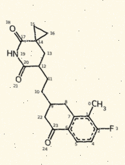 Cc1c(F)ccc2c1CC(CCC1CC3(CC3)C(=O)NC1=O)CC2=O